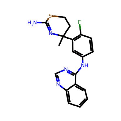 CC1(c2cc(Nc3ncnc4ccccc34)ccc2F)CCSC(N)=N1